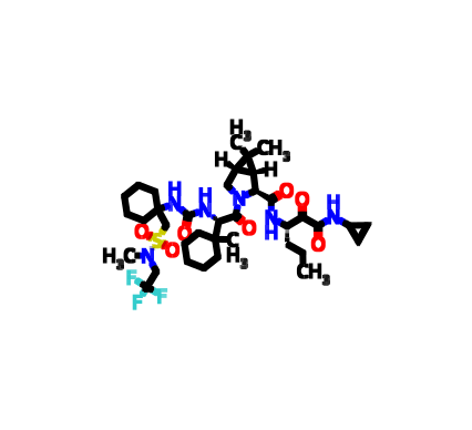 CCC[C@H](NC(=O)[C@@H]1[C@@H]2[C@H](CN1C(=O)[C@@H](NC(=O)NC1(CS(=O)(=O)N(C)CC(F)(F)F)CCCCC1)C1(C)CCCCC1)C2(C)C)C(=O)C(=O)NC1CC1